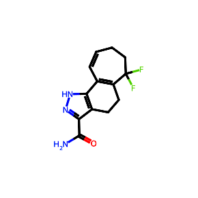 NC(=O)c1n[nH]c2c1CCC1=C2C=CCCC1(F)F